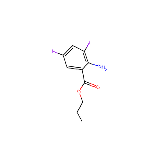 CCCOC(=O)c1cc(I)cc(I)c1N